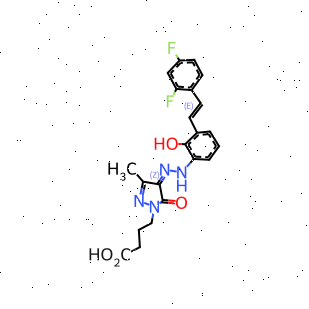 CC1=NN(CCCC(=O)O)C(=O)/C1=N\Nc1cccc(/C=C/c2ccc(F)cc2F)c1O